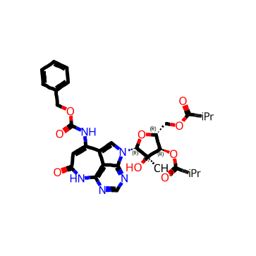 CC(C)C(=O)OC[C@H]1O[C@@H](n2cc3c4c(ncnc42)NC(=O)C=C3NC(=O)OCc2ccccc2)[C@](C)(O)[C@@H]1OC(=O)C(C)C